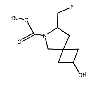 CC(C)(C)OC(=O)N1CC2(CC(O)C2)CC1CF